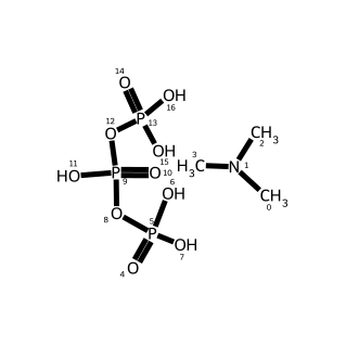 CN(C)C.O=P(O)(O)OP(=O)(O)OP(=O)(O)O